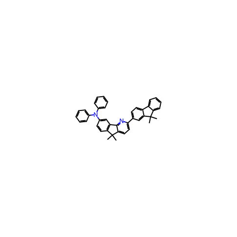 CC1(C)c2ccccc2-c2ccc(-c3ccc4c(n3)-c3cc(N(c5ccccc5)c5ccccc5)ccc3C4(C)C)cc21